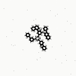 c1ccc(-c2cccc(-c3nc(-c4ccc5c(c4)sc4ccccc45)nc(-c4cc(-n5c6ccccc6c6cc7ccccc7cc65)c5oc6ccc7ccccc7c6c5c4)n3)c2)cc1